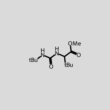 COC(=O)C(NC(=O)NC(C)(C)C)C(C)(C)C